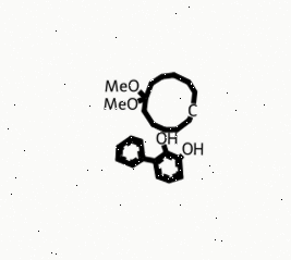 COC1(OC)CCCCCCCCCCC1.Oc1cccc(-c2ccccc2)c1O